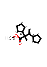 CC(C1CCCC1)C(C)(C(=O)O[SiH3])C1CCCC1